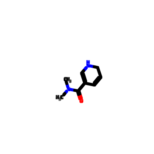 CN(C)C(=O)C1=CNCC=C1